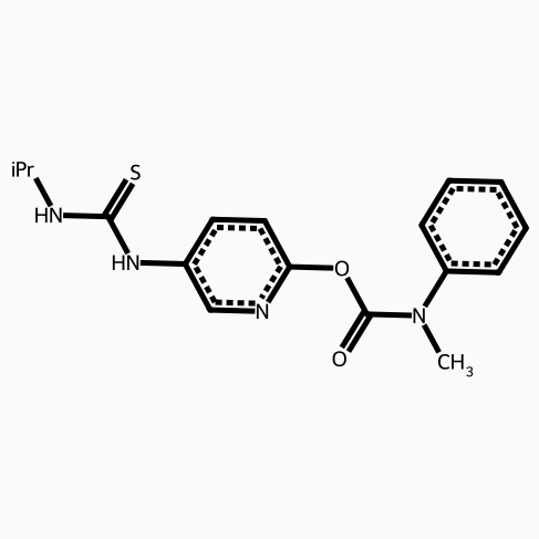 CC(C)NC(=S)Nc1ccc(OC(=O)N(C)c2ccccc2)nc1